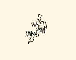 CC(C)(C=C(C#N)C(=O)N1C[C@@H]2C[C@@H]2[C@@H]1COC(=O)N[C@@H](Cc1ccc(F)cc1)B(O)O)N1CCC(F)(F)C1